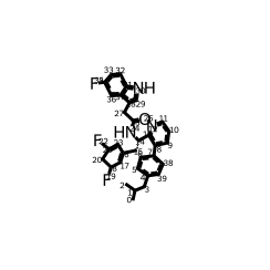 CC(C)Cc1ccc(-c2cccnc2[C@H](CC2=CC(F)CC(F)=C2)NC(=O)Cc2c[nH]c3ccc(F)cc23)cc1